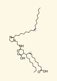 CCCCCCCC/C=C\CCCCCCCC1=NCCN1CCNC(=O)CC(C(=O)O)C(/C=C\CCCCCCC(=O)O)CCCCCCCC